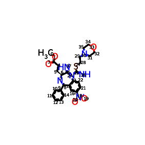 COC(=O)CC[C@@H]1N=C(c2ccccc2)c2cc([N+](=O)[O-])ccc2N(C(=N)SCCN2CCOCC2)C1=N